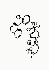 CN1CCN(c2ccc(S(=O)(=O)Nc3ccc(Cl)c(-c4nccc5ccccc45)c3)cc2)S1(=O)=O